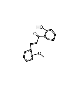 COc1ccccc1/C=C/C(=O)c1ccccc1O